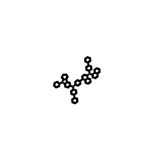 c1ccc(-c2ccc(N(c3ccc(-c4ccc(N(c5ccc(-c6ccccc6)cc5)c5cccc6ccccc56)c5ccccc45)cc3)c3ccc4c(c3)c3ccccc3n4-c3ccccc3)cc2)cc1